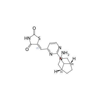 NCC1[C@@H]2CC[C@H]1CN(c1nccc(/C=C3\SC(=O)NC3=O)n1)C2